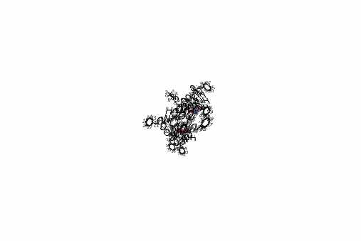 CC(C)(C)[Si](C)(C)OC[C@H]1O[C@@H](O[C@@H]2[C@@H](O)[C@H](NC(=O)OCc3ccccc3)C[C@H](NC(=O)OCc3ccccc3)[C@H]2O[C@H]2O[C@@H]3COC(c4ccccc4)O[C@H]3[C@H](O)[C@H]2NC(=O)OCc2ccccc2)[C@H](OC/C=C/c2ccccc2)[C@@H]1O[C@H]1O[C@@H](CNC(=O)OCc2ccccc2)[C@@H](O)[C@H](O)[C@H]1NC(=O)OCc1ccccc1